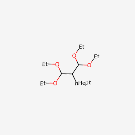 CCCCCCCC(C(OCC)OCC)C(OCC)OCC